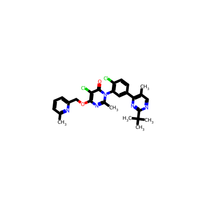 Cc1cccc(COc2nc(C)n(-c3cc(-c4nc(C(C)(C)C)ncc4C)ccc3Cl)c(=O)c2Cl)n1